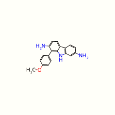 COc1ccc(-c2c(N)ccc3c2[nH]c2cc(N)ccc23)cc1